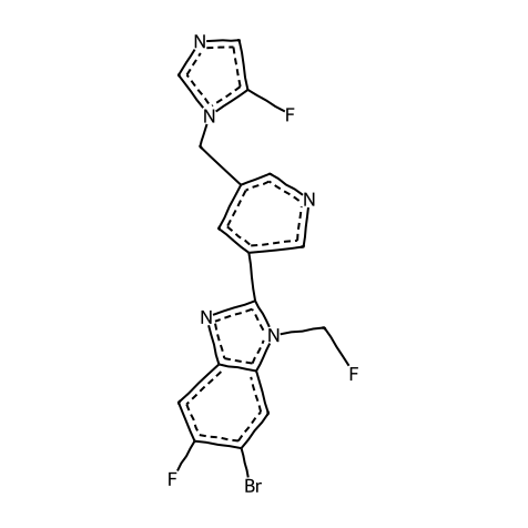 FCn1c(-c2cncc(Cn3cncc3F)c2)nc2cc(F)c(Br)cc21